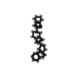 c1ccc2c3c(ccc2c1)CCC(c1cc2c(s1)CC(c1cc4c(o1)CCCC4)CC2)C3